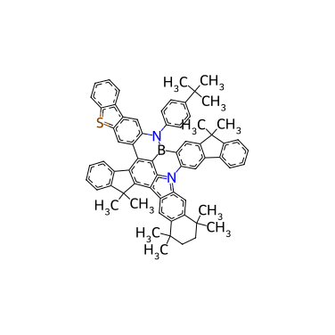 CC(C)(C)c1ccc(N2B3c4cc5c(cc4-n4c6cc7c(cc6c6c8c(c(c3c64)-c3cc4sc6ccccc6c4cc32)-c2ccccc2C8(C)C)C(C)(C)CCC7(C)C)-c2ccccc2C5(C)C)cc1